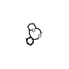 [C]1CC2CCCC(Cc3ccccc3CO1)O2